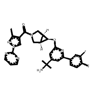 Cc1nn(-c2ncccn2)cc1C(=O)N1C[C@@H]2[C@H](C1)[C@@H]2Oc1cc(C(C)(C)N)cc(-c2ccc(F)c(F)c2)n1